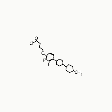 CC1CCC(C2CCC(c3ccc(OCCCC(=O)Cl)c(F)c3F)CC2)CC1